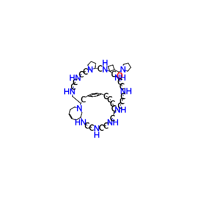 O=C(C1CCC12CNCCNCCCNC1CCCCc3ccc(cc3)CC(CNCCNCCN3CCCC3CN2)N2CCC=CCC(C2)NCCNCCNC1)N1CCCC1